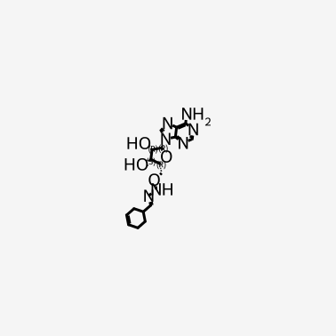 Nc1ncnc2c1ncn2[C@@H]1O[C@H](CONN=CC2CC=CCC2)[C@@H](O)[C@H]1O